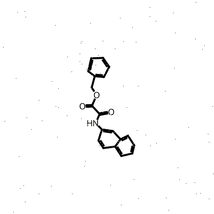 O=C(Nc1ccc2ccccc2c1)C(=O)OCc1ccccc1